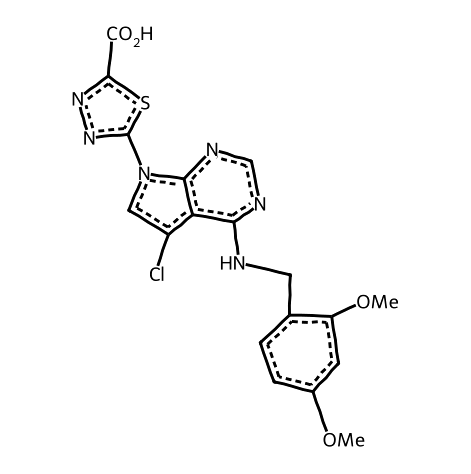 COc1ccc(CNc2ncnc3c2c(Cl)cn3-c2nnc(C(=O)O)s2)c(OC)c1